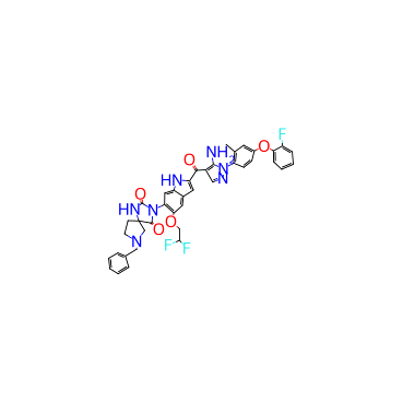 Cc1cc(Oc2ccccc2F)ccc1-n1ncc(C(=O)c2cc3cc(OCC(F)F)c(N4C(=O)NC5(CCN(Cc6ccccc6)C5)C4=O)cc3[nH]2)c1N